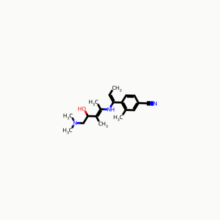 C/C=C(/N/C(C)=C(\C)C(O)CN(C)C)c1ccc(C#N)cc1C